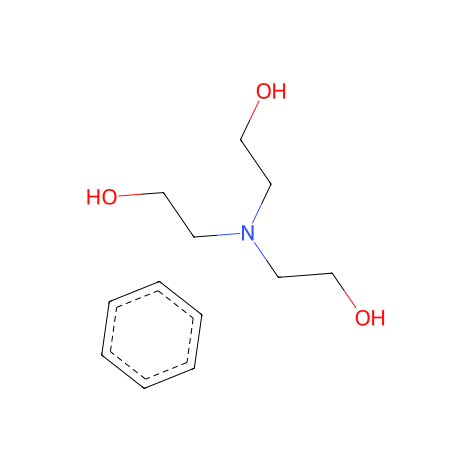 OCCN(CCO)CCO.c1ccccc1